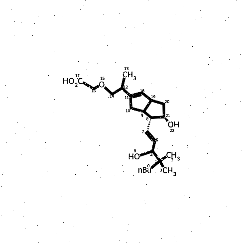 CCCCC(C)(C)C(O)/C=C/[C@@H]1C2CC(C(C)COCC(=O)O)=CC2C[C@H]1O